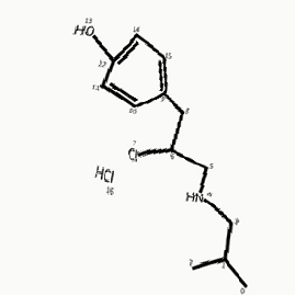 CC(C)CNCC(Cl)Cc1ccc(O)cc1.Cl